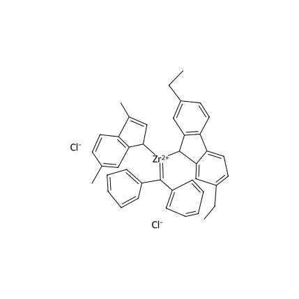 CCc1ccc2c(c1)[CH]([Zr+2](=[C](c1ccccc1)c1ccccc1)[CH]1C=C(C)c3ccc(C)cc31)c1cc(CC)ccc1-2.[Cl-].[Cl-]